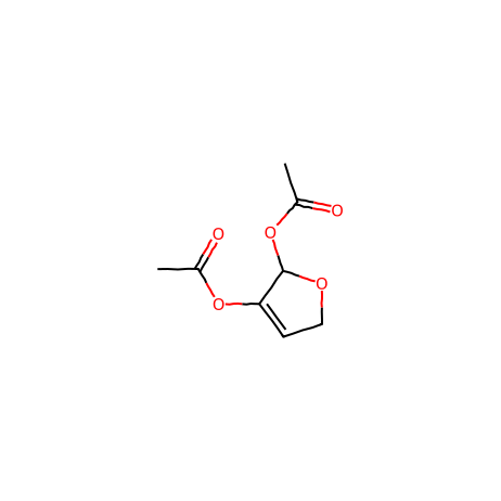 CC(=O)OC1=CCOC1OC(C)=O